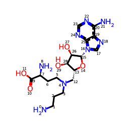 NCCCN(CC[C@H](N)C(=O)O)C[C@H]1O[C@@H](n2cnc3c(N)ncnc32)[C@H](O)[C@@H]1O